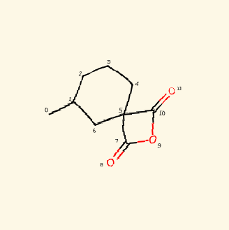 CC1CCCC2(C1)C(=O)OC2=O